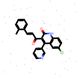 Cc1ccccc1/C=C/C(=O)c1c(-c2cccnc2)c2cc(Cl)ccc2[nH]c1=O